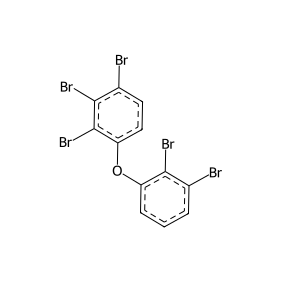 Brc1cccc(Oc2ccc(Br)c(Br)c2Br)c1Br